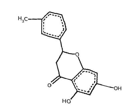 Cc1cccc(C2CC(=O)c3c(O)cc(O)cc3O2)c1